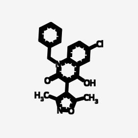 Cc1noc(C)c1-c1c(O)c2cc(Cl)ccc2n(Cc2ccccc2)c1=O